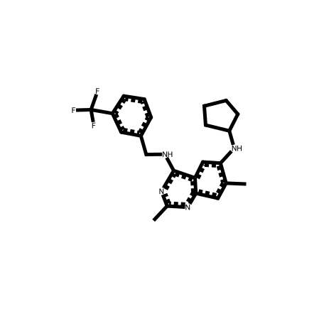 Cc1nc(NCc2cccc(C(F)(F)F)c2)c2cc(NC3CCCC3)c(C)cc2n1